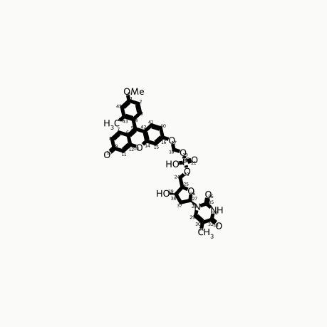 COc1ccc(-c2c3ccc(=O)cc-3oc3cc(OCOP(=O)(O)OCC4O[C@@H](n5cc(C)c(=O)[nH]c5=O)C[C@H]4O)ccc23)c(C)c1